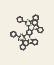 c1ccc(-c2nc(-c3ccccc3)nc(-c3cc(-c4nc(-c5ccccc5)nc(-c5ccccc5)n4)c(-n4c5ccccc5c5ccccc54)cc3-n3c4ccccc4c4ccccc43)n2)cc1